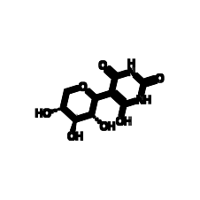 O=c1[nH]c(O)c(C2OC[C@@H](O)[C@H](O)[C@H]2O)c(=O)[nH]1